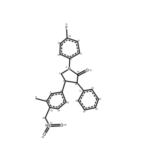 Cc1cc(C2CN(c3ccc(F)cc3)C(=O)C2c2ccccc2)ccc1C[SH](=O)=O